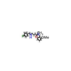 COc1ccccc1CN(C)C(=O)CCCNCc1ccc(F)cc1